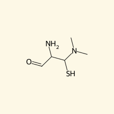 CN(C)C(S)C(N)C=O